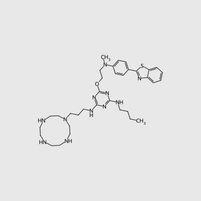 CCCCNc1nc(NCCCN2CCNCCNCCNCC2)nc(OCCN(C)c2ccc(-c3nc4ccccc4s3)cc2)n1